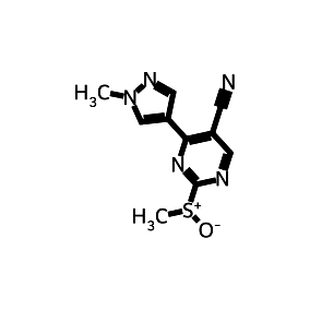 Cn1cc(-c2nc([S+](C)[O-])ncc2C#N)cn1